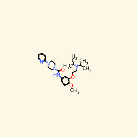 COc1ccc(NC(=O)N2CCN(c3ccccn3)CC2)cc1OCCN(C(C)C)C(C)C